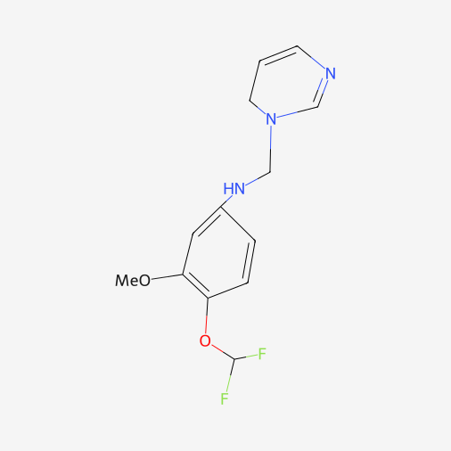 COc1cc(NCN2C=NC=CC2)ccc1OC(F)F